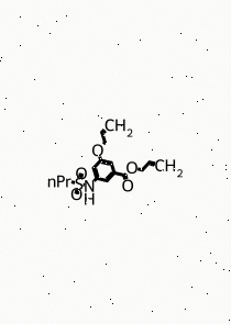 C=CCOC(=O)c1cc(NS(=O)(=O)CCC)cc(OCC=C)c1